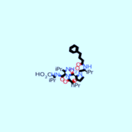 CCCC(=O)C(=O)N(C(=O)[C@@H]1CCCN1C(=O)[C@@H](NC(=O)CCCc1ccccc1)C(C)C)[C@@H](C(=O)N[C@H](C(=O)O)C(C)C)C(N)C(C)C